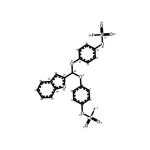 O=S(=O)(F)Oc1ccc(OC(Oc2ccc(OS(=O)(=O)F)cc2)c2cc3ccccc3o2)cc1